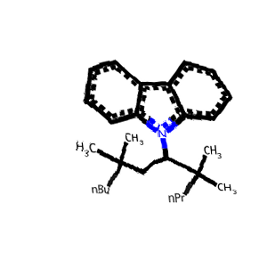 CCCCC(C)(C)CC(n1c2ccccc2c2ccccc21)C(C)(C)CCC